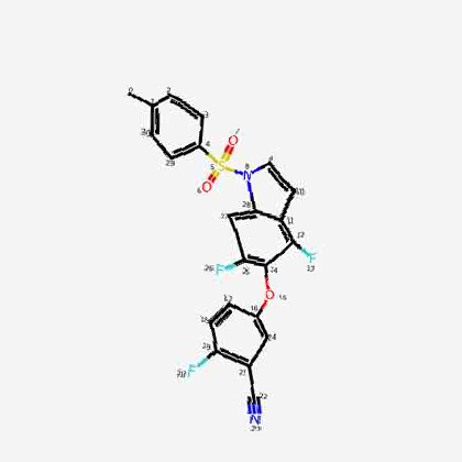 Cc1ccc(S(=O)(=O)n2ccc3c(F)c(Oc4ccc(F)c(C#N)c4)c(F)cc32)cc1